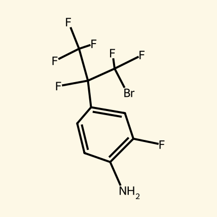 Nc1ccc(C(F)(C(F)(F)F)C(F)(F)Br)cc1F